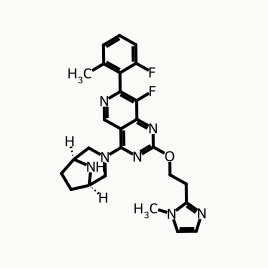 Cc1cccc(F)c1-c1ncc2c(N3C[C@H]4CC[C@@H](C3)N4)nc(OCCc3nccn3C)nc2c1F